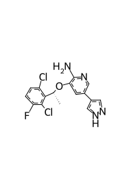 C[C@@H](Oc1cc(-c2cn[nH]c2)cnc1N)c1c(Cl)ccc(F)c1Cl